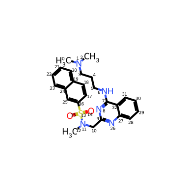 CN(C)CCCNc1nc(CN(C)S(=O)(=O)c2ccc3ccccc3c2)nc2ccccc12